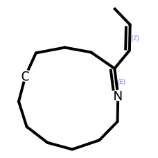 C/C=C\C1=N\CCCCCCCCCC1